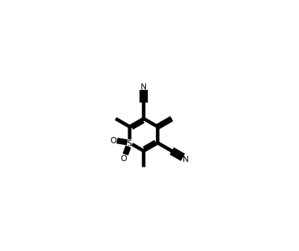 C=C1C(C#N)=C(C)S(=O)(=O)C(C)=C1C#N